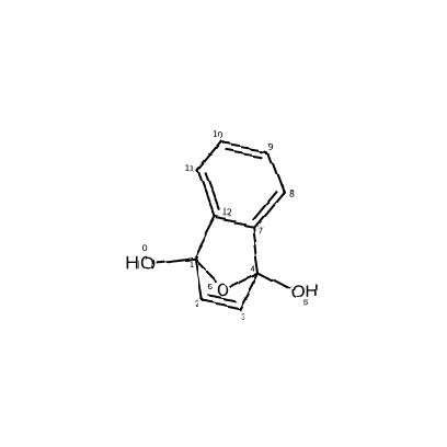 OC12C=CC(O)(O1)c1ccccc12